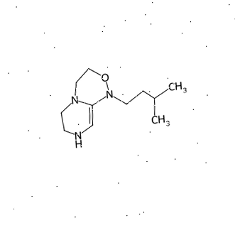 CC(C)CCN1OCCN2CCNC=C21